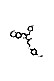 COc1ccc(OCCC(=O)N/C(=C\c2ccc3c(c2)OCCO3)CN2CC[C@H](F)C2)cc1